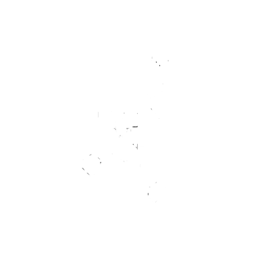 CS(=O)(=O)[C@@H](COC(=O)c1ccc([N+](=O)[O-])cc1)[C@@H](CSc1ccccc1)NC(=O)OCc1ccccc1